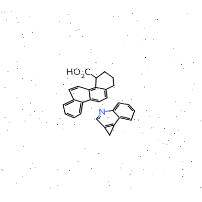 O=C(O)C1CCCc2ccc3c(ccc4ccccc43)c21.c1ccc2c3c(cnc2c1)C3